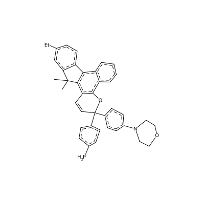 CCc1ccc2c(c1)C(C)(C)c1c3c(c4ccccc4c1-2)OC(c1ccc(P)cc1)(c1ccc(N2CCOCC2)cc1)C=C3